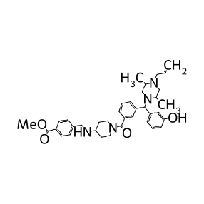 C=CCN1C[C@@H](C)N(C(c2cccc(O)c2)c2cccc(C(=O)N3CCC(NCc4ccc(C(=O)OC)cc4)CC3)c2)C[C@H]1C